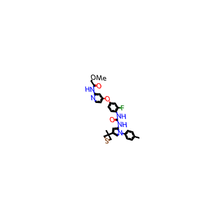 COCC(=O)Nc1cc(Oc2ccc(NC(=O)Nc3cc(C4(C)CSC4)cn3-c3ccc(C)cc3)c(F)c2)ccn1